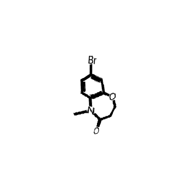 CN1C(=O)CCOc2cc(Br)ccc21